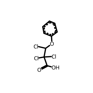 O=C(O)C(Cl)(Cl)C(Cl)Oc1ccccc1